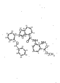 COC(=O)c1cccc(NC(=O)c2cccc3oc(-c4ccccc4OCc4ccccc4)nc23)c1N